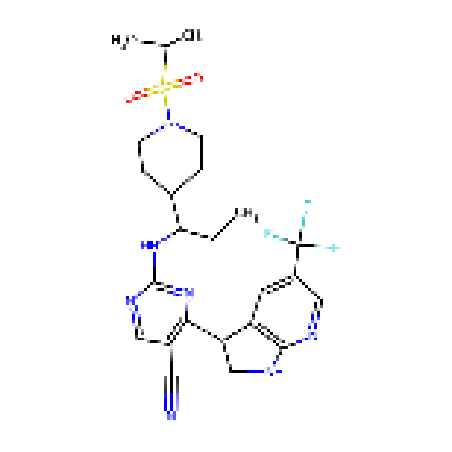 CCC(Nc1ncc(C#N)c(C2CNc3ncc(C(F)(F)F)cc32)n1)C1CCN(S(=O)(=O)C(C)C)CC1